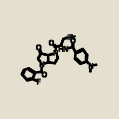 CC(C)CC(NC(=O)c1ccc(N(C)C)cc1)C(=O)N1CCC2C1C(=O)CN2C(=O)c1ccccc1F